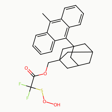 Cc1c2ccccc2c(C23CC4CC(CC(COC(=O)C(F)(F)SOO)(C4)C2)C3)c2ccccc12